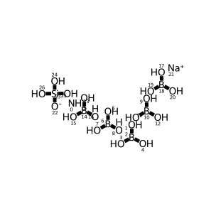 N.OB(O)O.OB(O)O.OB(O)O.OB(O)O.OB(O)O.[Na+].[O-][Si](O)(O)O